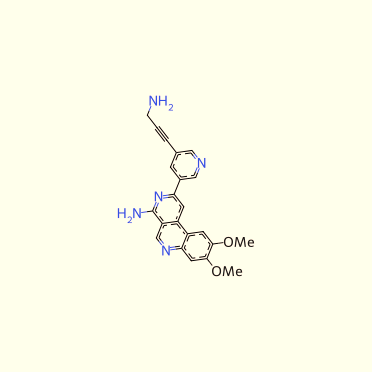 COc1cc2ncc3c(N)nc(-c4cncc(C#CCN)c4)cc3c2cc1OC